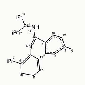 Cc1ccc(/C(=N\C2=C(C(C)C)CCC=C2)NP(C(C)C)C(C)C)cc1